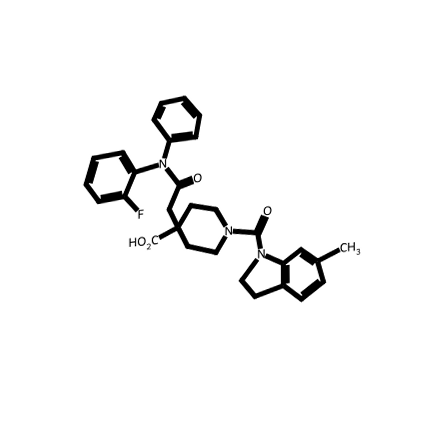 Cc1ccc2c(c1)N(C(=O)N1CCC(CC(=O)N(c3ccccc3)c3ccccc3F)(C(=O)O)CC1)CC2